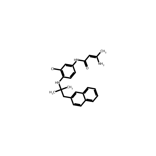 C/C(N)=C/C(=O)Nc1ccc(NC(C)(C)Cc2ccc3ccccc3c2)c(Cl)c1